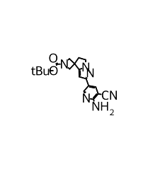 CC(C)(C)OC(=O)N1CC2(CCn3nc(-c4cnc(N)c(C#N)c4)cc32)C1